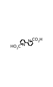 O=C(O)c1cccc(-c2cccc(C(=O)O)n2)n1